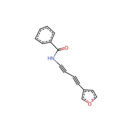 O=C(NC#CC#Cc1ccoc1)c1ccccc1